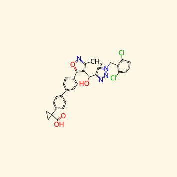 Cc1noc(-c2ccc(-c3ccc(C4(C(=O)O)CC4)cc3)cc2)c1C(O)c1cn(Cc2c(Cl)cccc2Cl)nn1